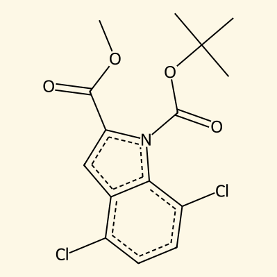 COC(=O)c1cc2c(Cl)ccc(Cl)c2n1C(=O)OC(C)(C)C